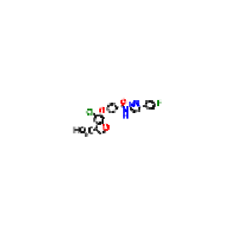 O=C(Nc1ccc(-c2ccc(F)cc2)nn1)c1ccc(Oc2cc3c(cc2Cl)C(C(=O)O)CCO3)cc1